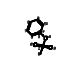 CS(=O)(=O)O[n+]1ccccc1